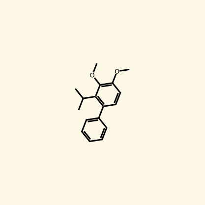 COc1ccc(-c2ccccc2)c(C(C)C)c1OC